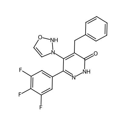 O=c1[nH]nc(-c2cc(F)c(F)c(F)c2)c(N2C=CON2)c1Cc1ccccc1